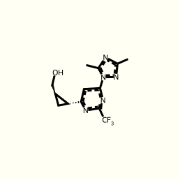 Cc1nc(C)n(-c2cc([C@@H]3C[C@H]3CO)nc(C(F)(F)F)n2)n1